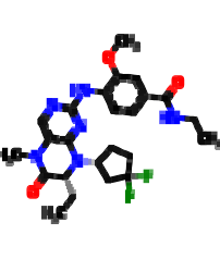 CCNC(=O)c1ccc(Nc2ncc3c(n2)N([C@@H]2CCC(F)(F)C2)[C@H](CC)C(=O)N3C)c(OC)c1